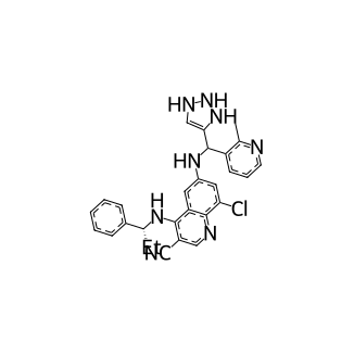 CC[C@@H](Nc1c(C#N)cnc2c(Cl)cc(NC(C3=CNNN3)c3cccnc3C)cc12)c1ccccc1